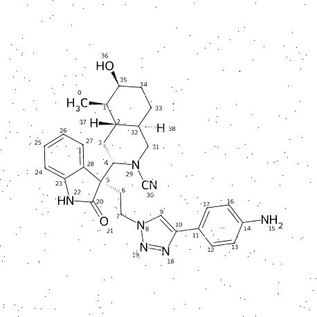 C[C@@H]1[C@H]2C[C@@H]([C@@]3(CCn4cc(-c5ccc(N)cc5)nn4)C(=O)Nc4ccccc43)N(C#N)C[C@@H]2CC[C@@H]1O